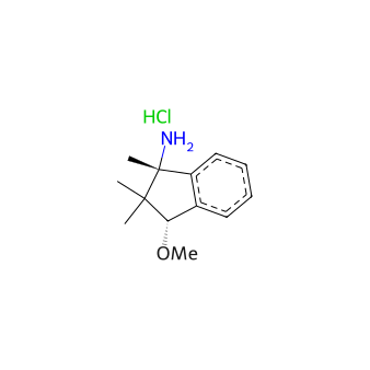 CO[C@H]1c2ccccc2[C@@](C)(N)C1(C)C.Cl